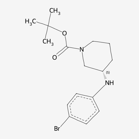 CC(C)(C)OC(=O)N1CCC[C@H](Nc2ccc(Br)cc2)C1